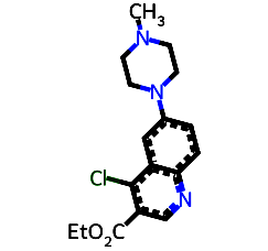 CCOC(=O)c1cnc2ccc(N3CCN(C)CC3)cc2c1Cl